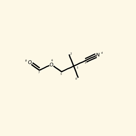 CC(C)(C#N)CO[C]=O